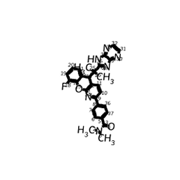 CN(C)C(=O)c1ccc(-c2ccc3c(n2)Oc2c(F)cccc2C3C(C)(C)c2nc3nccnc3[nH]2)cc1